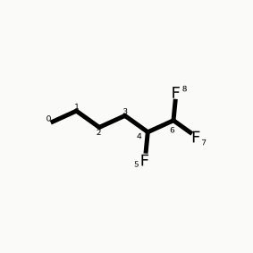 CCCCC(F)C(F)F